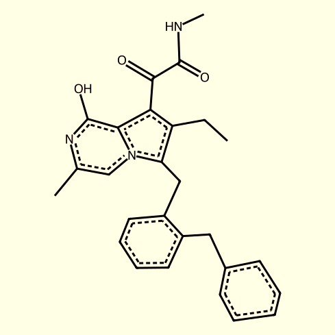 CCc1c(C(=O)C(=O)NC)c2c(O)nc(C)cn2c1Cc1ccccc1Cc1ccccc1